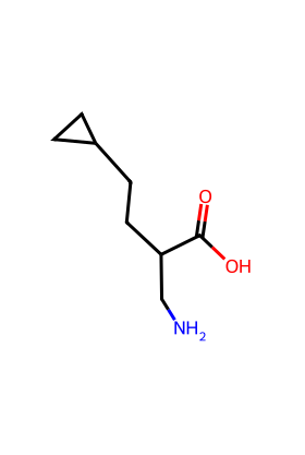 NCC(CCC1CC1)C(=O)O